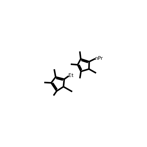 CCC1=C(C)C(C)=C(C)C1C.CCCC1=C(C)C(C)=C(C)C1C